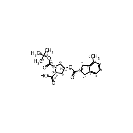 Cc1cccc2c1CN(C(=O)O[C@@H]1C[C@@H](C(=O)O)N(C(=O)OC(C)(C)C)C1)C2